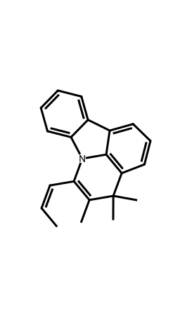 C/C=C\C1=C(C)C(C)(C)c2cccc3c4ccccc4n1c23